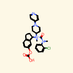 CN(C(=O)[N+](C)(C1CCN(c2ccncc2)CC1)C1CCc2ccc(OC(=O)O)cc21)c1ccccc1Cl